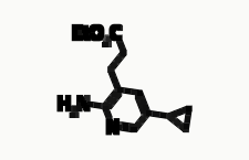 CCOC(=O)CCc1cc(C2CC2)cnc1N